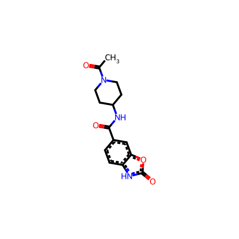 CC(=O)N1CCC(NC(=O)c2ccc3[nH]c(=O)oc3c2)CC1